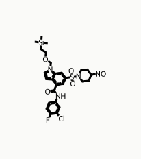 C[Si](C)(C)CCOCn1ccc2c(C(=O)Nc3ccc(F)c(Cl)c3)cc(S(=O)(=O)N3CCC(N=O)CC3)cc21